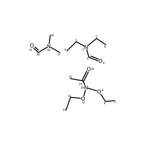 CCN(C=O)CC.CCON(OCC)C(C)=O.CN(C)C=O